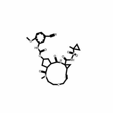 COc1ccc(C#N)cc1NC(=O)OC1CC2C(=O)NC3(C(=O)NS(=O)(=O)C4(C)CC4)CC3/C=C/CCCCN(C)C(=O)C2C1